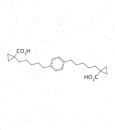 O=C(O)C1(CCCCCc2ccc(CCCCCC3(C(=O)O)CC3)cc2)CC1